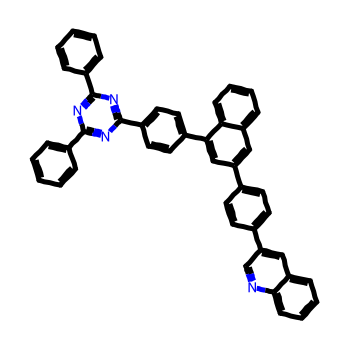 c1ccc(-c2nc(-c3ccccc3)nc(-c3ccc(-c4cc(-c5ccc(-c6cnc7ccccc7c6)cc5)cc5ccccc45)cc3)n2)cc1